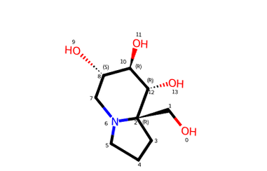 OC[C@@]12CCCN1C[C@H](O)[C@@H](O)[C@@H]2O